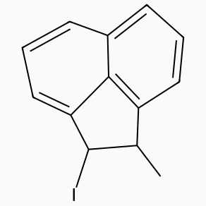 CC1c2cccc3cccc(c23)C1I